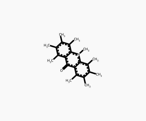 Cc1c(C)c(C)c2c(c1C)c(=O)c1c(C)c(C)c(C)c(C)c1n2C